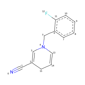 N#CC1=CN(Cc2ccccc2F)C=CC1